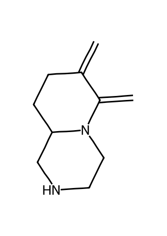 C=C1CCC2CNCCN2C1=C